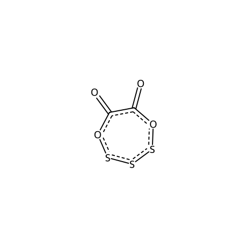 O=c1osssoc1=O